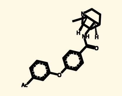 CC(=O)c1cccc(Oc2ccc(C(=O)N[C@@H]3C4CCN(CC4)[C@H]3C)cc2)c1